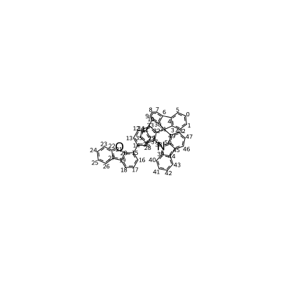 c1ccc2c(c1)-c1cccc(-c3ccc(-c4cccc5c4oc4ccccc45)cc3)c1C21c2ccccc2-n2c3ccccc3c3cccc1c32